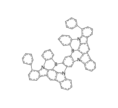 c1ccc(-c2cccc3c4cc5c6ccccc6n6c5c5c4n(c23)-c2ccccc2B5c2cc3c(cc2-6)-n2c4ccccc4c4cc5c6cccc(-c7ccccc7)c6n6c5c(c42)B3c2ccccc2-6)cc1